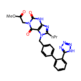 CCCc1nc2[nH]c(=O)n(CC(=O)OC)c(=O)c2n1Cc1ccc(-c2ccccc2-c2nnn[nH]2)cc1